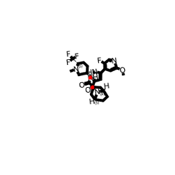 COc1cc(-c2cc(C(=O)N3[C@@H]4CC[C@H]3CC(C(=O)N[C@H]3CC[C@@H](C(F)(F)F)N(C)C3)C4)n[nH]2)c(F)cn1